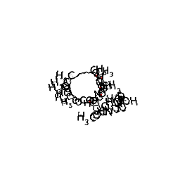 COC1CC(CC2[C@H]3CCCN4C(=O)C(=O)C5(O)O[C@@H](CCC5C)C[C@H](OC)/C(C)=C/C=C/C=C/[C@@H](C)CC(C)C(=O)C(OC)[C@@H](O)/C(C)=C/C(C)C(=O)C[C@@H]2OC(=O)C34)CC[C@H]1OC(=O)Nc1ccc(P(=O)(O)CP(=O)(O)O)cc1